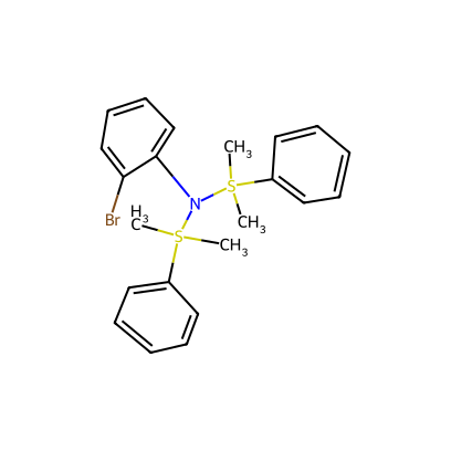 CS(C)(c1ccccc1)N(c1ccccc1Br)S(C)(C)c1ccccc1